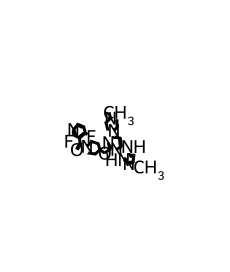 Cc1cc(Nc2cc(N3CCN(C)CC3)nc(OC3CCN(C(=O)c4c(F)ccnc4F)CC3)n2)[nH]n1